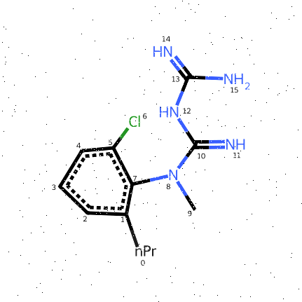 CCCc1cccc(Cl)c1N(C)C(=N)NC(=N)N